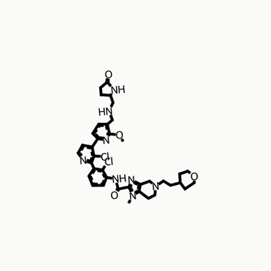 COc1nc(-c2ccnc(-c3cccc(NC(=O)c4nc5c(n4C)CCN(CCC4CCOCC4)C5)c3Cl)c2Cl)ccc1CNCC1CCC(=O)N1